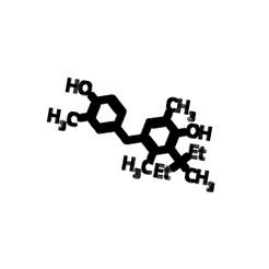 CCC(C)(CC)c1c(C)c(Cc2ccc(O)c(C)c2)cc(C)c1O